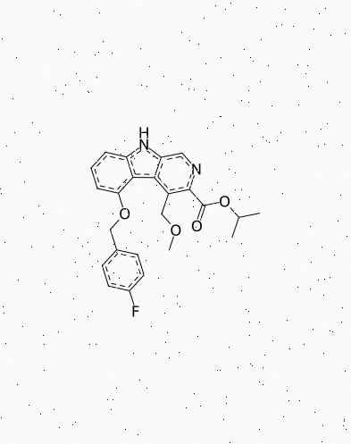 COCc1c(C(=O)OC(C)C)ncc2[nH]c3cccc(OCc4ccc(F)cc4)c3c12